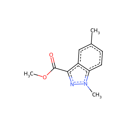 COC(=O)c1nn(C)c2ccc(C)cc12